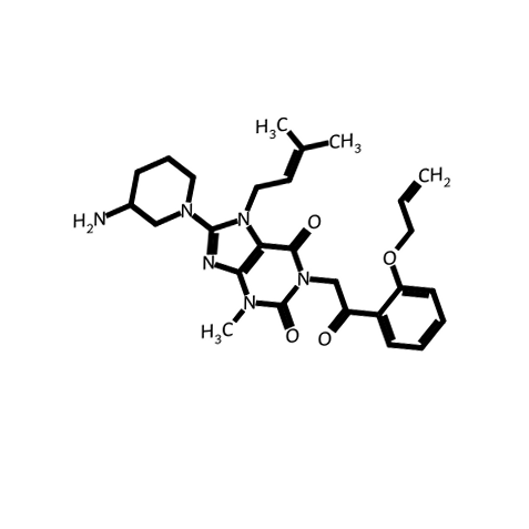 C=CCOc1ccccc1C(=O)Cn1c(=O)c2c(nc(N3CCCC(N)C3)n2CC=C(C)C)n(C)c1=O